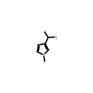 CCC(C)c1ccn(C)c1